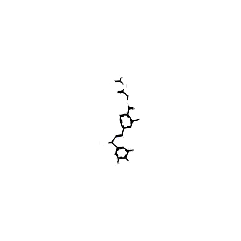 Cc1cc(/C=C/C(c2cc(Cl)c(Cl)c(Cl)c2)C(F)(F)F)ccc1C(=O)NCC(=O)NC(C(F)(F)F)C(F)(F)F